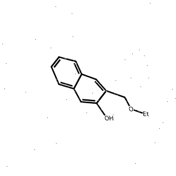 CCOCc1cc2ccccc2cc1O